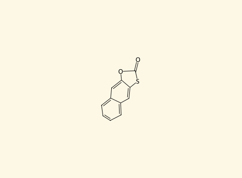 O=c1oc2cc3ccccc3cc2s1